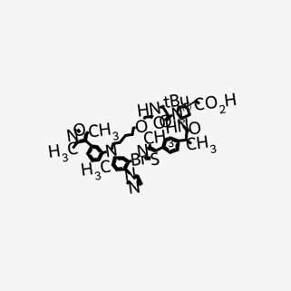 Cc1ccc(-c2c(C)noc2C)cc1N(CCCCCOCC(=O)NC(C(=O)N1C[C@@H](CC(=O)O)C[C@H]1NC(=O)C(C)c1ccc(-c2scnc2C)cc1)C(C)(C)C)c1ccc(-n2ccnc2)c(Br)c1